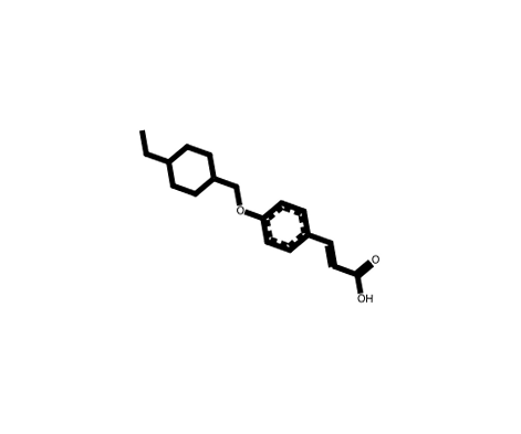 CCC1CCC(COc2ccc(C=CC(=O)O)cc2)CC1